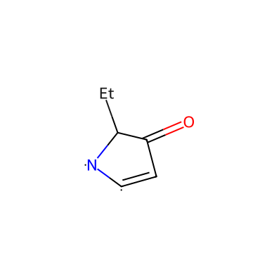 CCC1[N][C]=CC1=O